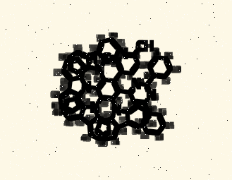 Cc1ccc(-c2c(-c3cc(-c4ccccc4)nc(-c4ccccc4)n3)c(-n3c4ccccc4c4ccccc43)c(-n3c4ccccc4c4ccccc43)c(-n3c4ccccc4c4ccccc43)c2-n2c3ccccc3c3ccccc32)c(C)n1